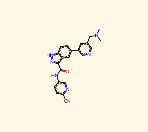 CN(C)Cc1cncc(-c2ccc3[nH]nc(C(=O)Nc4ccc(C#N)nc4)c3c2)c1